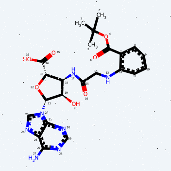 CC(C)(C)OC(=O)c1ccccc1NCC(=O)N[C@H]1[C@@H](O)[C@H](n2cnc3c(N)ncnc32)O[C@@H]1C(=O)O